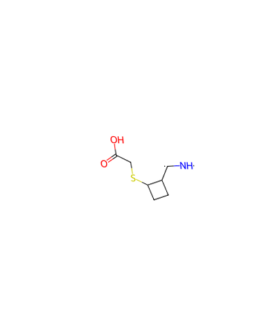 [NH][CH]C1CCC1SCC(=O)O